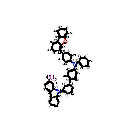 Pc1ccc2c3ccccc3n(-c3cccc(-c4ccc(N(c5ccccc5)c5ccc(-c6cccc7c6oc6ccccc67)cc5)cc4)c3)c2c1